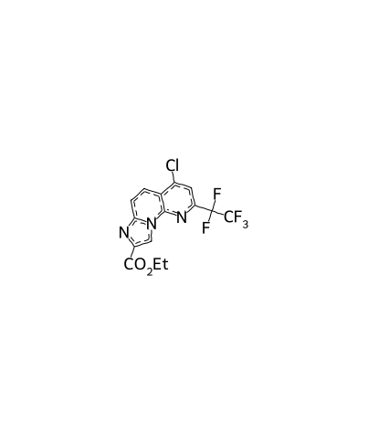 CCOC(=O)c1cn2c(ccc3c(Cl)cc(C(F)(F)C(F)(F)F)nc32)n1